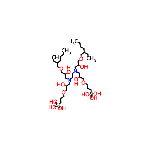 CCCCC(CC)COCC(O)CN(CCN(CC(O)COCCC[Si](O)(O)O)CC(O)COCC(CC)CCCC)CC(O)COCCC[Si](O)(O)O